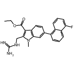 CCOC(=O)c1c(CNC(=N)N)n(C)c2cc(-c3cccc4c(F)cccc34)ccc12